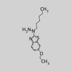 CCCCCCN(N)c1nc2ccc(OCC)cc2s1